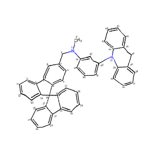 CN(Cc1ccc2c(c1)-c1ccccc1C21c2ccccc2-c2ccccc21)c1cccc(N2c3ccccc3Cc3ccccc32)c1